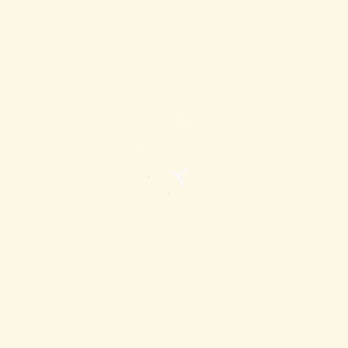 CC1(C)CO[C@]2(C[C@](C(=O)O)(C(F)(F)F)C2)c2c1n(-c1ccc(F)c(F)c1)c1cccc(O)c12